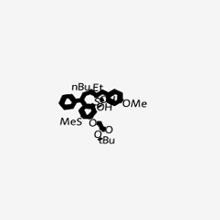 CCCCC1(CC)CC(c2ccccc2)c2cc(SC)c(OCC(=O)OC(C)(C)C)cc2S(O)(O)C1Cc1ccc(OC)cc1